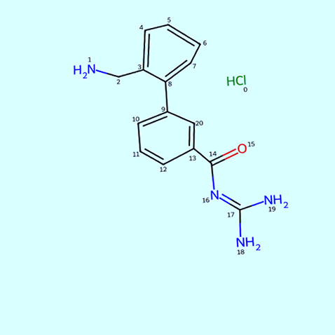 Cl.NCc1ccccc1-c1cccc(C(=O)N=C(N)N)c1